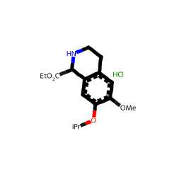 CCOC(=O)C1NCCc2cc(OC)c(OC(C)C)cc21.Cl